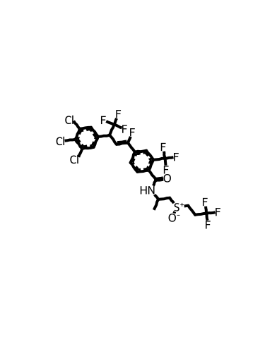 CC(C[S+]([O-])CCC(F)(F)F)NC(=O)c1ccc(/C(F)=C/C(c2cc(Cl)c(Cl)c(Cl)c2)C(F)(F)F)cc1C(F)(F)F